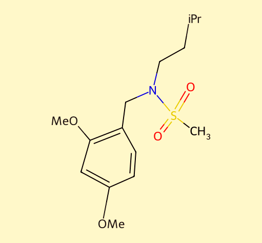 COc1ccc(CN(CCC(C)C)S(C)(=O)=O)c(OC)c1